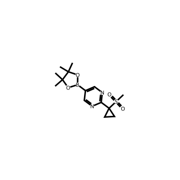 CC1(C)OB(c2cnc(C3(S(C)(=O)=O)CC3)nc2)OC1(C)C